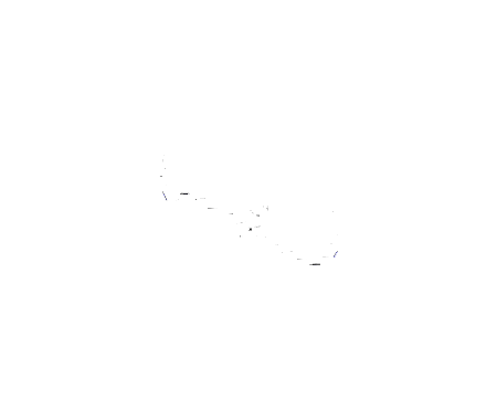 CCCCC/C=C\C/C=C\CCCCCCCCC(O)(CCCCCCCC/C=C\C/C=C\CCCCC)OC(C)N(C)C